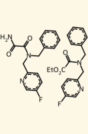 CCOC(=O)C(=O)N(Cc1ccccc1)Cc1ccc(F)cn1.NC(=O)C(=O)N(Cc1ccccc1)Cc1ccc(F)cn1